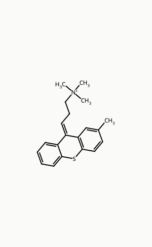 Cc1ccc2c(c1)/C(=C\CC[N+](C)(C)C)c1ccccc1S2